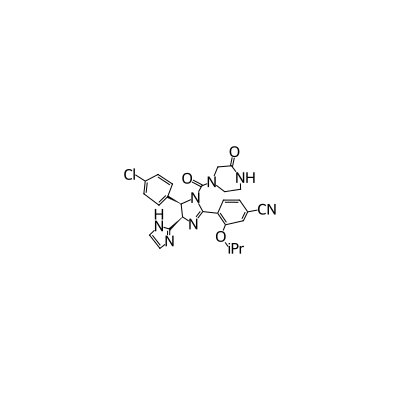 CC(C)Oc1cc(C#N)ccc1C1=N[C@@H](c2ncc[nH]2)[C@@H](c2ccc(Cl)cc2)N1C(=O)N1CCNC(=O)C1